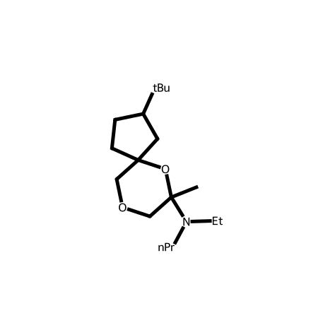 CCCN(CC)C1(C)COCC2(CCC(C(C)(C)C)C2)O1